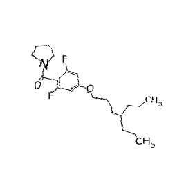 CCCC(CCC)CCCOc1cc(F)c(C(=O)N2CCCC2)c(F)c1